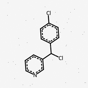 Clc1ccc(C(Cl)c2cccnc2)cc1